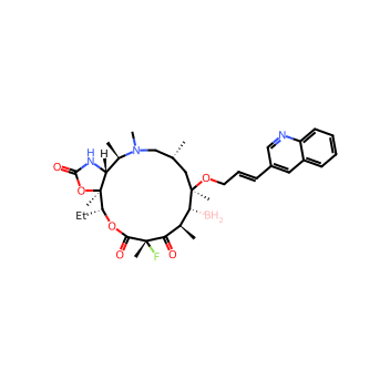 B[C@@H]1[C@@H](C)C(=O)[C@](C)(F)C(=O)O[C@H](CC)[C@@]2(C)OC(=O)N[C@@H]2[C@@H](C)N(C)C[C@H](C)C[C@@]1(C)OC/C=C/c1cnc2ccccc2c1